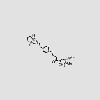 COC(CN(C)C(=O)CCOc1ccc(CCN2C[C@H]3CCC[C@H]3C2)cc1)OC